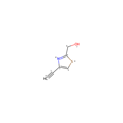 C#Cc1csc(CO)n1